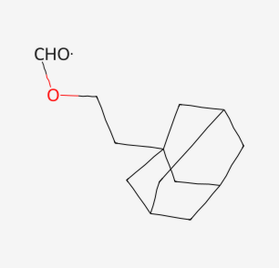 O=[C]OCCC12CC3CC(CC(C3)C1)C2